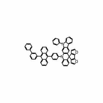 c1ccc(-c2cccc(-c3c4ccccc4c(-c4ccc(N5c6ccccc6C6(c7cc8c9ccccc9n(-c9ccccc9)c8cc75)c5ccoc5-c5occc56)cc4)c4ccccc34)c2)cc1